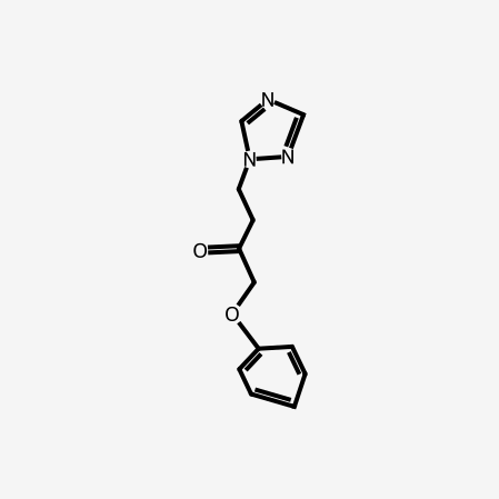 O=C(CCn1cncn1)COc1ccccc1